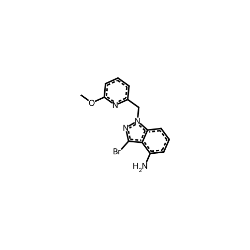 COc1cccc(Cn2nc(Br)c3c(N)cccc32)n1